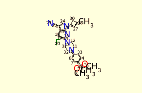 COC(C)(OC)c1ccc(N2CCN(c3nc4c(cc3F)c(C#N)cn4C3CC(C)C3)CC2)cc1